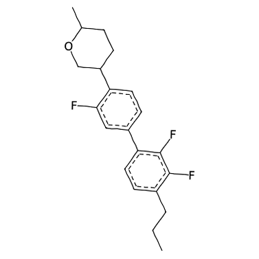 CCCc1ccc(-c2ccc(C3CCC(C)OC3)c(F)c2)c(F)c1F